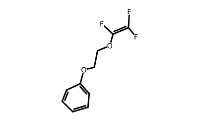 FC(F)=C(F)OCCOc1ccccc1